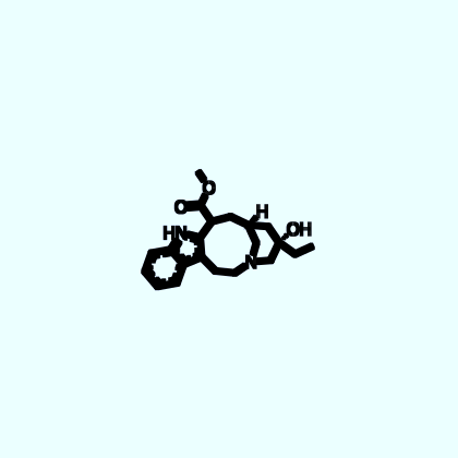 CC[C@]1(O)C[C@H]2CC(C(=O)OC)c3[nH]c4ccccc4c3CCN(C2)C1